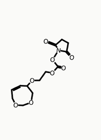 O=C(OCCOC1C=CCOCOC1)ON1C(=O)CCC1=O